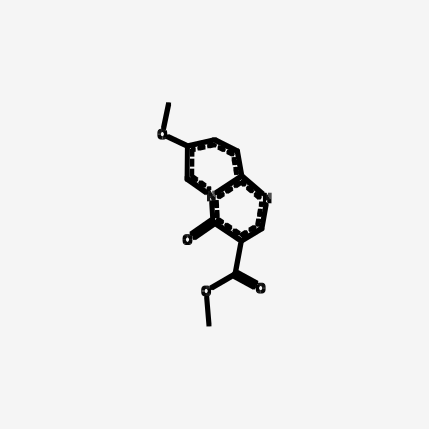 COC(=O)c1cnc2ccc(OC)cn2c1=O